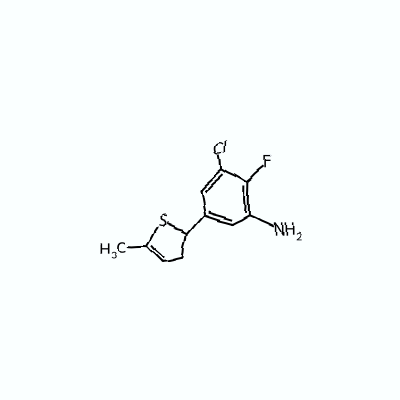 CC1=CCC(c2cc(N)c(F)c(Cl)c2)S1